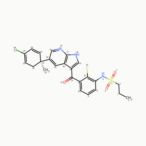 CCCS(=O)(=O)Nc1cccc(C(=O)c2c[nH]c3ncc([C@]4(C)C=CC(Cl)=CC4)cc23)c1F